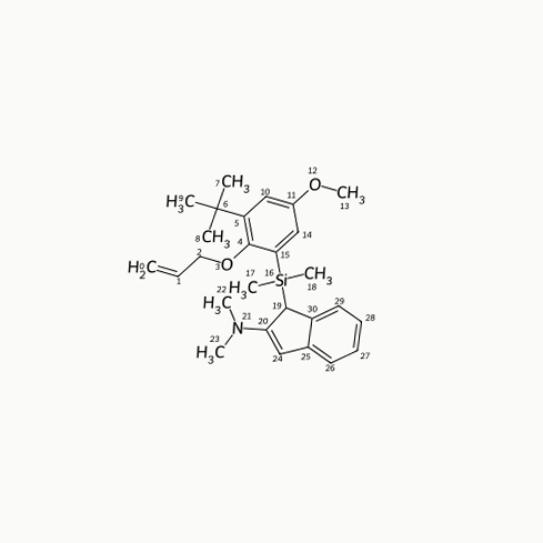 C=CCOc1c(C(C)(C)C)cc(OC)cc1[Si](C)(C)C1C(N(C)C)=Cc2ccccc21